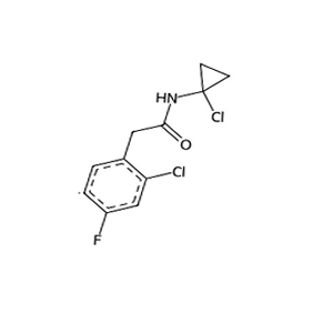 O=C(Cc1c[c]c(F)cc1Cl)NC1(Cl)CC1